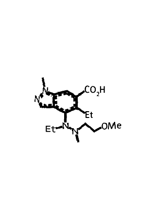 CCc1c(C(=O)O)cc2c(cnn2C)c1N(CC)N(C)CCOC